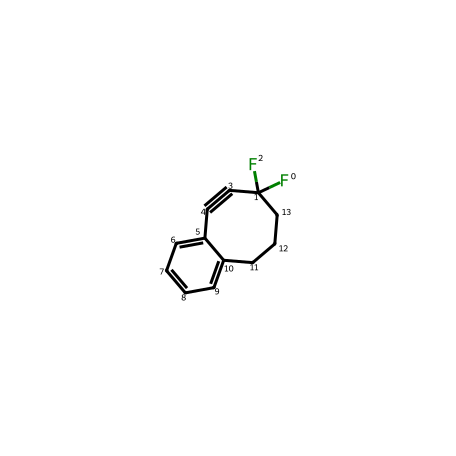 FC1(F)C#Cc2ccccc2CCC1